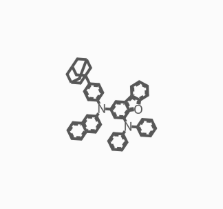 c1ccc(N(c2ccccc2)c2cc(N(c3ccc(C45CC6CC(CC(C6)C4)C5)cc3)c3ccc4ccccc4c3)cc3c2oc2ccccc23)cc1